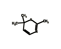 CC1=NC=CC(C)(C)S1